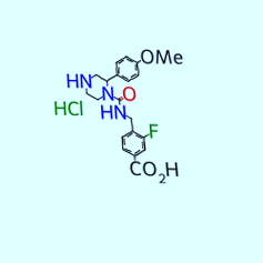 COc1ccc(C2CNCCN2C(=O)NCc2ccc(C(=O)O)cc2F)cc1.Cl